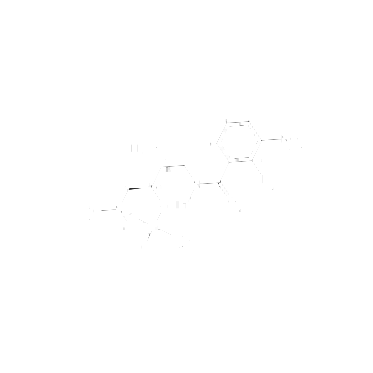 CC(C)N(C[C@@H](C)[C@H](CN(C)C(=O)O)O[Si](C)(C)C(C)(C)C)C(=O)c1cccc([N+](=O)[O-])c1F